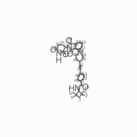 CC1(C)CC(C)(C)C1NC(=O)c1ccc(C#CC2CCN(c3cccc4c3C(=O)N(C3CCC(=O)NC3=O)C4=O)CC2)cc1